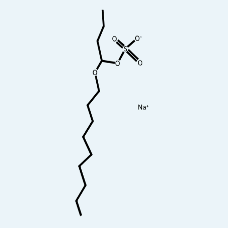 CCCCCCCCCOC(CCC)OS(=O)(=O)[O-].[Na+]